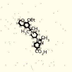 CCOc1cc(C(C)(C)N2CCC(n3c(C)nc4cc(C(=O)O)ccc43)CC2)cc2c1OCC=C2